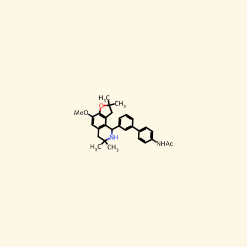 COc1cc2c(c3c1OC(C)(C)C3)C(c1cccc(-c3ccc(NC(C)=O)cc3)c1)NC(C)(C)C2